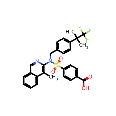 Cc1c(N(Cc2ccc(C(C)(C)C(F)(F)F)cc2)S(=O)(=O)c2ccc(C(=O)O)cc2)ncc2ccccc12